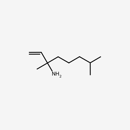 C=CC(C)(N)CCCC(C)C